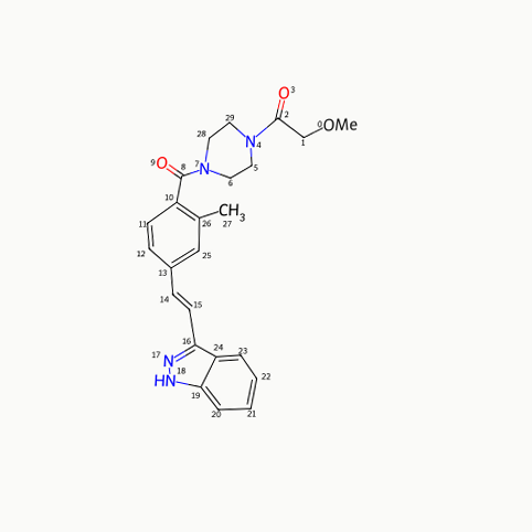 COCC(=O)N1CCN(C(=O)c2ccc(C=Cc3n[nH]c4ccccc34)cc2C)CC1